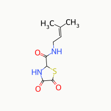 CC(C)=CCNC(=O)C1NC(=O)C(=O)S1